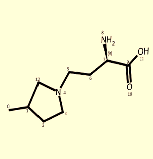 CC1CCN(CC[C@@H](N)C(=O)O)C1